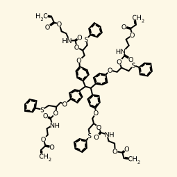 C=CC(=O)OCCNC(=O)OC(COc1ccc(C(c2ccc(OCC(CSc3ccccc3)OC(=O)NCCOC(=O)C=C)cc2)C(c2ccc(OCC(CSc3ccccc3)OC(=O)NCCOC(=O)C=C)cc2)c2ccc(OCC(CSc3ccccc3)OC(=O)NCCOC(=O)C=C)cc2)cc1)CSc1ccccc1